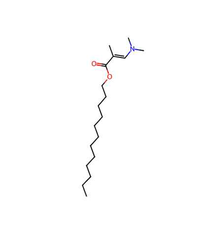 CCCCCCCCCCCCOC(=O)C(C)=CN(C)C